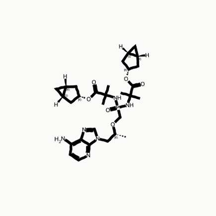 C[C@H](Cn1cnc2c(N)ccnc21)OCP(=O)(NC(C)(C)C(=O)O[C@@H]1C[C@@H]2C[C@@H]2C1)NC(C)(C)C(=O)O[C@@H]1C[C@@H]2C[C@@H]2C1